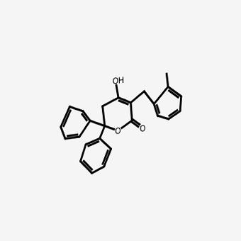 Cc1ccccc1CC1=C(O)CC(c2ccccc2)(c2ccccc2)OC1=O